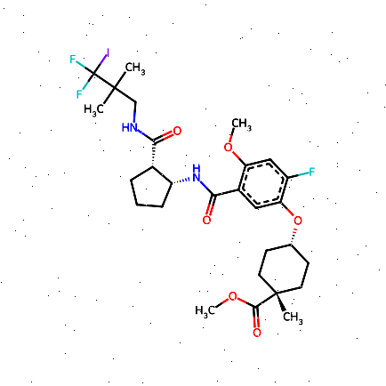 COc1cc(F)c(O[C@H]2CC[C@@](C)(C(=O)OC)CC2)cc1C(=O)N[C@@H]1CCC[C@@H]1C(=O)NCC(C)(C)C(F)(F)I